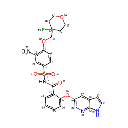 O=C(NS(=O)(=O)c1ccc(OCC2(F)CCOCC2)c([N+](=O)[O-])c1)c1ccccc1Oc1cnc2[nH]ccc2c1